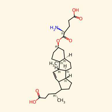 C[C@H](CCC(=O)O)C1CC[C@@H]2C1C=C[C@H]1[C@H]2CC[C@@H]2C[C@H](OC(=O)[C@@H](N)CCC(=O)O)CC[C@@]21C